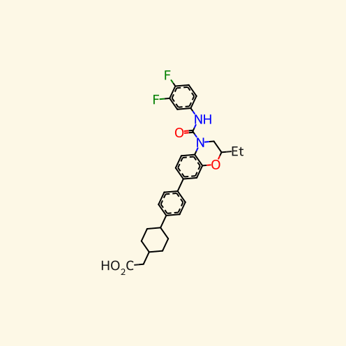 CCC1CN(C(=O)Nc2ccc(F)c(F)c2)c2ccc(-c3ccc(C4CCC(CC(=O)O)CC4)cc3)cc2O1